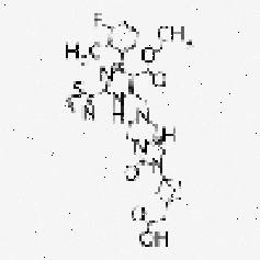 CCOC(=O)C1=C(CN2CCN3C(=O)N(C45CCC(CC(=O)O)(C4)C5)C[C@@H]3C2)NC(c2nccs2)=N[C@H]1c1cccc(F)c1C